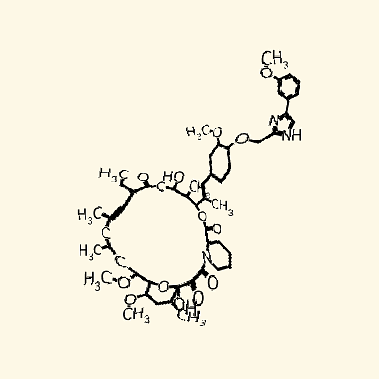 CCC1/C=C(\C)CC(C)CC(OC)C2OC(O)(C(=O)C(=O)N3CCCCC3C(=O)OC(C(C)=CC3CCC(OCc4nc(-c5cccc(OC)c5)c[nH]4)C(OC)C3)C(C)C(O)CC1=O)C(C)CC2OC